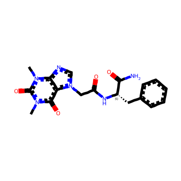 Cn1c(=O)c2c(ncn2CC(=O)N[C@@H](Cc2ccccc2)C(N)=O)n(C)c1=O